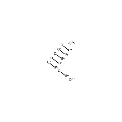 CC(C)[O-].CC(C)[O-].CC(C)[O-].CC(C)[O-].CC(C)[O-].CC(C)[O-].[Pb+2].[Zr+4]